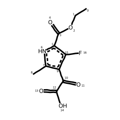 CCOC(=O)c1[nH]c(C)c(C(=O)C(=O)O)c1F